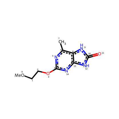 COCCOc1nc(C)c2[nH]c(=O)[nH]c2n1